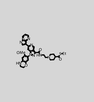 CCSC(=O)C1CCN(CCNC(=O)c2nn(-c3cc4c(cc3OC)NCCO4)c3cc(-c4cnn5cccnc45)ncc23)CC1